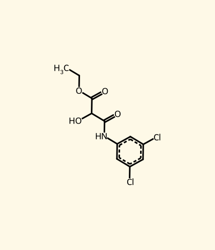 CCOC(=O)C(O)C(=O)Nc1cc(Cl)cc(Cl)c1